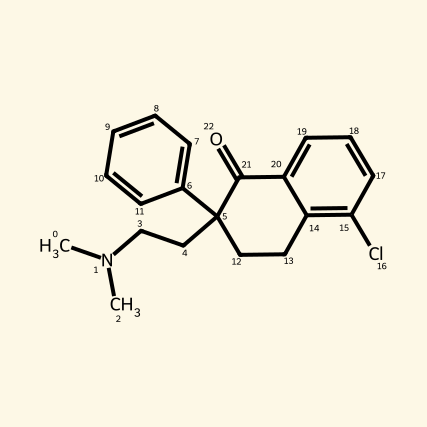 CN(C)CCC1(c2ccccc2)CCc2c(Cl)cccc2C1=O